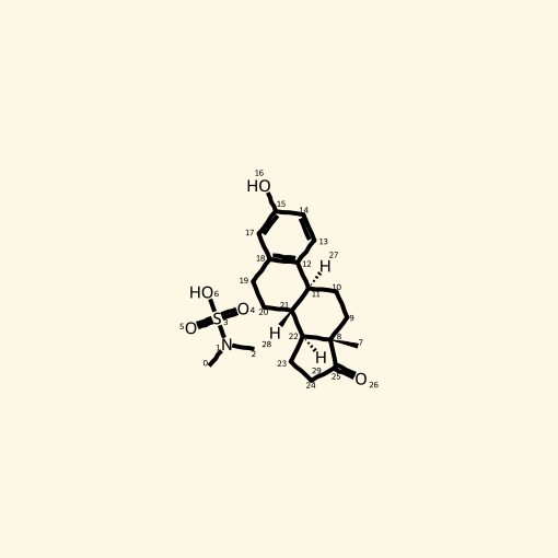 CN(C)S(=O)(=O)O.C[C@]12CC[C@@H]3c4ccc(O)cc4CC[C@H]3[C@@H]1CCC2=O